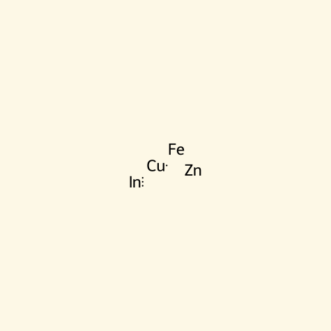 [Cu].[Fe].[In].[Zn]